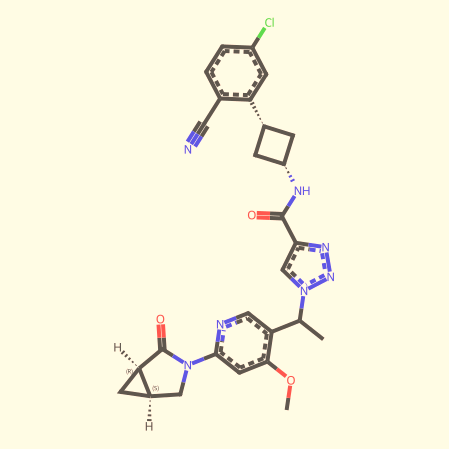 COc1cc(N2C[C@H]3C[C@H]3C2=O)ncc1C(C)n1cc(C(=O)N[C@H]2C[C@@H](c3cc(Cl)ccc3C#N)C2)nn1